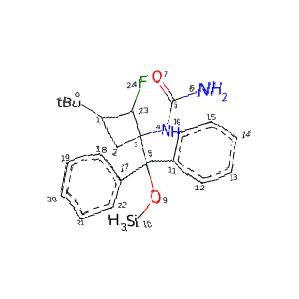 CC(C)(C)C1CC(NC(N)=O)(C(O[SiH3])(c2ccccc2)c2ccccc2)C1F